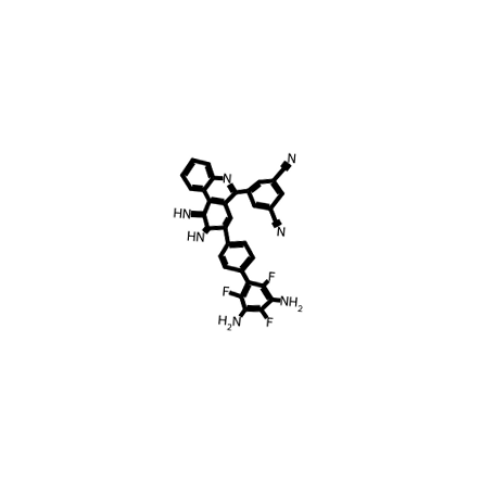 N#Cc1cc(C#N)cc(-c2nc3ccccc3c3c2C=C(c2ccc(-c4c(F)c(N)c(F)c(N)c4F)cc2)C(=N)C3=N)c1